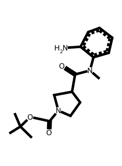 CN(C(=O)C1CCN(C(=O)OC(C)(C)C)C1)c1ccccc1N